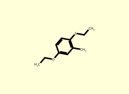 CCOc1ccc(SCC)c(C)c1